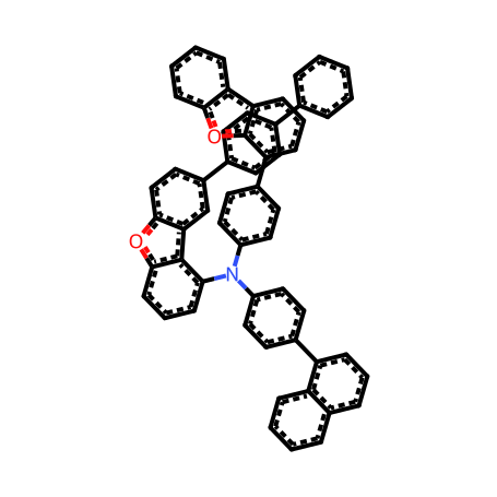 c1ccc(-c2ccc(-c3ccc4oc5cccc(N(c6ccc(-c7cccc8ccccc78)cc6)c6ccc(-c7cccc8c7oc7ccccc78)cc6)c5c4c3)cc2)cc1